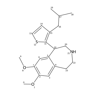 COc1cc2c(cc1OC)C(c1sccc1CC(C)C)CNCC2